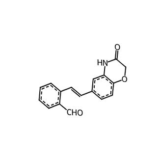 O=Cc1ccccc1C=Cc1ccc2c(c1)NC(=O)CO2